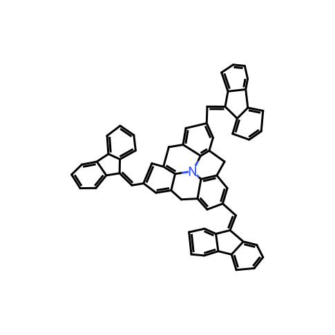 C(=C1c2ccccc2-c2ccccc21)c1cc2c3c(c1)Cc1cc(C=C4c5ccccc5-c5ccccc54)cc4c1N3c1c(cc(C=C3c5ccccc5-c5ccccc53)cc1C4)C2